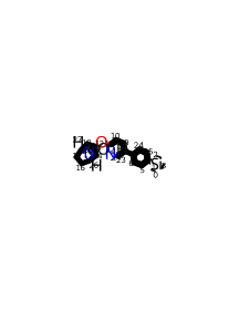 C[Si](C)(C)c1ccc(-c2ccc(O[C@@H]3C[C@H]4CC[C@@H](C3)N4C(=O)O)nc2)cc1